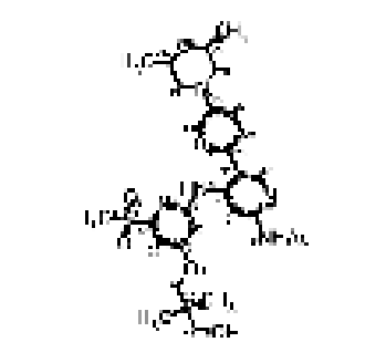 CC(=O)Nc1cc(Nc2cc(OCC(C)(C)CO)cc(S(C)(=O)=O)n2)c(-c2ccc(N3CC(C)OC(C)C3)cn2)cn1